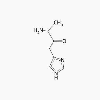 CC(N)C(=O)Cc1c[nH]cn1